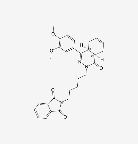 COc1ccc(C2=NN(CCCCCN3C(=O)c4ccccc4C3=O)C(=O)[C@@H]3CC=CC[C@H]23)cc1OC